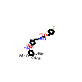 COc1cc(NS(=O)(=O)c2ccc(C=CCNC(=O)COCc3ccc(F)cc3)cc2)cc(OC)c1OC